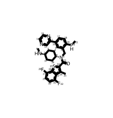 CN[C@H]1CC[C@H](N(Cc2cc(-c3cnccn3)ccc2PC)C(=O)c2sc3c(F)ccc(F)c3c2C)CC1